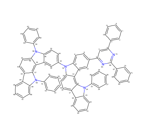 c1ccc(-c2cc(-c3ccc4c(c3)c3c(ccc5c6ccccc6n(-c6ccccc6)c53)n4-c3ccc4c(c3)c3c(ccc5c6ccccc6n(-c6ccccc6)c53)n4-c3ccccc3)nc(-c3ccccc3)n2)cc1